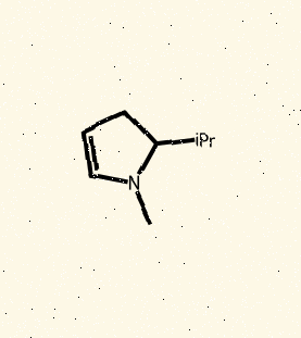 CC(C)C1CC=CN1C